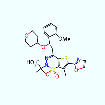 COc1ccccc1[C@H](CC1=NN(C(C)(C)C(=O)O)S(=O)(=O)c2c1sc(-c1ncco1)c2C)OC1CCOCC1